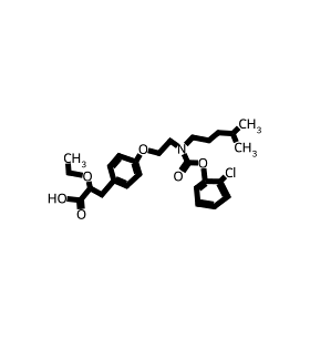 CCOC(Cc1ccc(OCCN(CCCC(C)C)C(=O)Oc2ccccc2Cl)cc1)C(=O)O